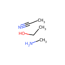 CC#N.CCO.CN